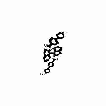 CC1CCC(c2ccc(C(=O)Oc3ccc4ccccc4c3-c3c(OC(=O)c4ccc(C5CCC(C)CC5)cc4)ccc4ccccc34)cc2)CC1